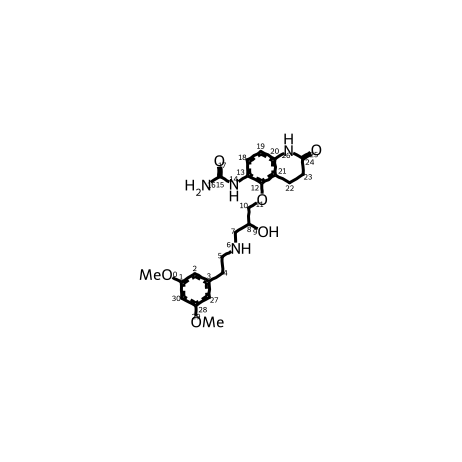 COc1cc(CCNCC(O)COc2c(NC(N)=O)ccc3c2CCC(=O)N3)cc(OC)c1